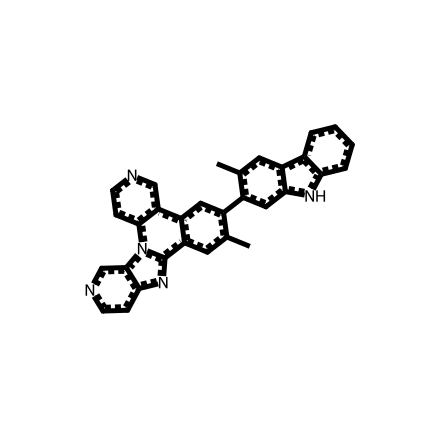 Cc1cc2c(cc1-c1cc3c4cnccc4n4c5cnccc5nc4c3cc1C)[nH]c1ccccc12